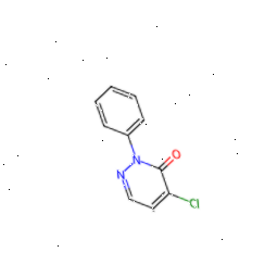 O=c1c(Cl)[c]cnn1-c1ccccc1